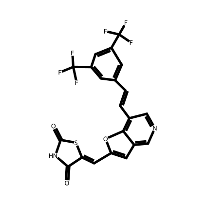 O=C1NC(=O)C(=Cc2cc3cncc(C=Cc4cc(C(F)(F)F)cc(C(F)(F)F)c4)c3o2)S1